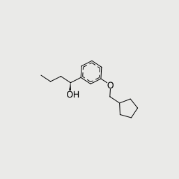 CCC[C@H](O)c1cccc(OCC2CCCC2)c1